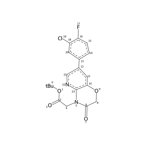 CC(C)(C)OC(=O)CN1C(=O)COc2cc(-c3ccc(F)c(Cl)c3)cnc21